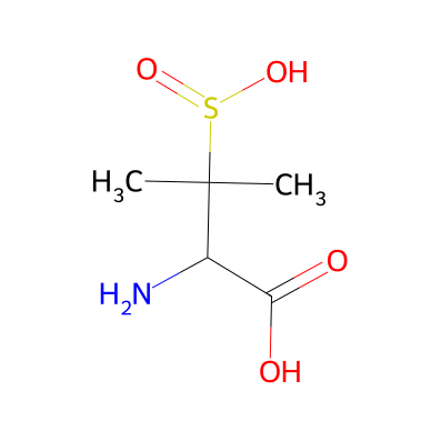 CC(C)(C(N)C(=O)O)S(=O)O